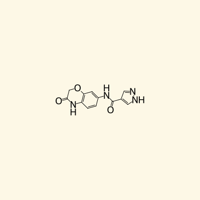 O=C1COc2cc(NC(=O)c3cn[nH]c3)ccc2N1